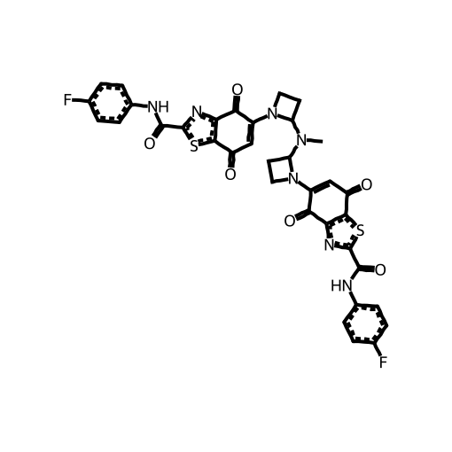 CN(C1CCN1C1=CC(=O)c2sc(C(=O)Nc3ccc(F)cc3)nc2C1=O)C1CCN1C1=CC(=O)c2sc(C(=O)Nc3ccc(F)cc3)nc2C1=O